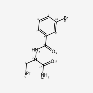 CC(C)CN(NC(=O)c1cccc(Br)c1)C(N)=O